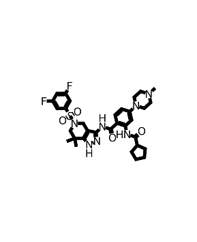 CN1CCN(c2ccc(C(=O)Nc3n[nH]c4c3CN(S(=O)(=O)c3cc(F)cc(F)c3)CC4(C)C)c(NC(=O)C3CCCC3)c2)CC1